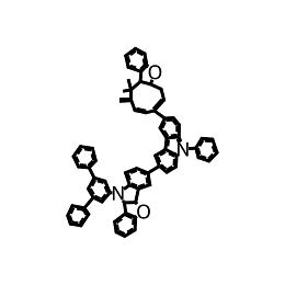 C=C1/C=C\C(c2ccc3c(c2)c2cc(-c4ccc5c(c4)C4Oc6ccccc6C4N5c4cc(-c5ccccc5)cc(-c5ccccc5)c4)ccc2n3-c2ccccc2)=C/CC2Oc3ccccc3C2C1(C)C